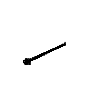 O=P(O)(O)CCCCCCCCCCCCCCCCCCCCCCCCCCCCCCCCCI